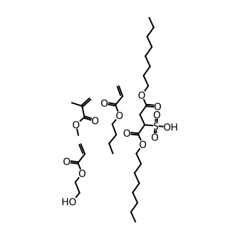 C=C(C)C(=O)OC.C=CC(=O)OCCCC.C=CC(=O)OCCO.CCCCCCCCOC(=O)CC(C(=O)OCCCCCCCC)S(=O)(=O)O